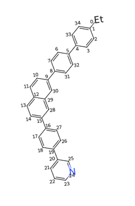 CCc1ccc(-c2ccc(-c3ccc4ccc(-c5ccc(-c6cccnc6)cc5)cc4c3)cc2)cc1